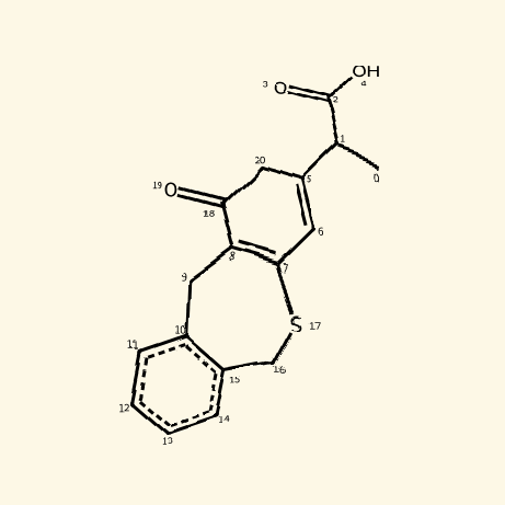 CC(C(=O)O)C1=CC2=C(Cc3ccccc3CS2)C(=O)C1